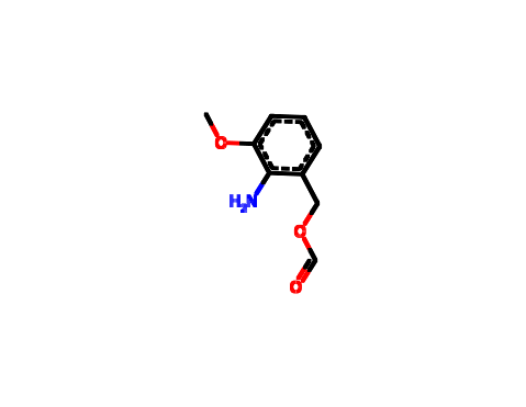 COc1cccc(COC=O)c1N